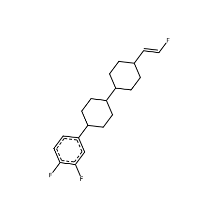 FC=CC1CCC(C2CCC(c3ccc(F)c(F)c3)CC2)CC1